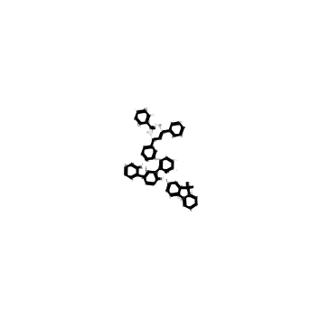 CC1(C)c2ccccc2-c2ccc(-n3c4ccccc4c4c3ccc3c5ccccc5n(-c5ccc(-c6cc(-c7ccccc7)nc(-c7ccccc7)n6)cc5)c34)cc21